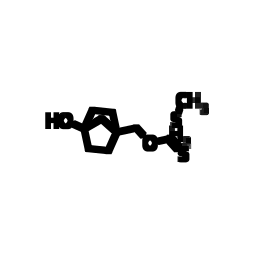 C[SH2]C(=S)OCC12CCC(O)(CC1)C2